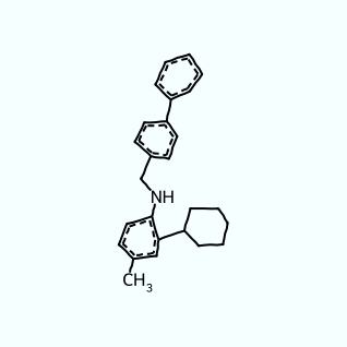 Cc1ccc(NCc2ccc(-c3ccccc3)cc2)c(C2CCCCC2)c1